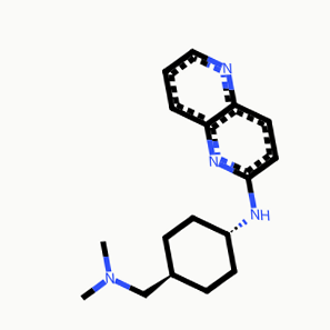 CN(C)C[C@H]1CC[C@H](Nc2ccc3ncccc3n2)CC1